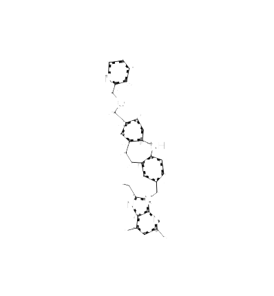 CCc1nc2c(C)cc(C)nc2n1Cc1ccc2c(c1)CCc1cc(COCc3ccccn3)ccc1N2